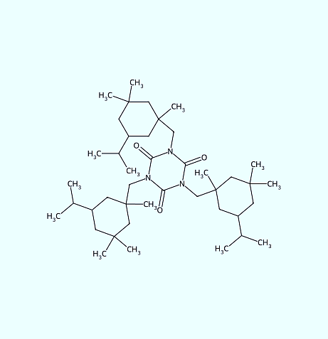 CC(C)C1CC(C)(C)CC(C)(Cn2c(=O)n(CC3(C)CC(C(C)C)CC(C)(C)C3)c(=O)n(CC3(C)CC(C(C)C)CC(C)(C)C3)c2=O)C1